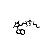 CCCCNS(=O)(=O)NC(=O)C=Cc1c(C)nn(C)c1-n1ccc2ccccc21